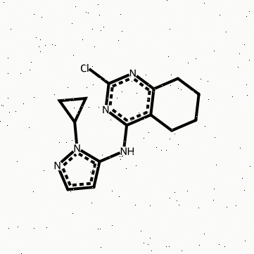 Clc1nc2c(c(Nc3ccnn3C3CC3)n1)CCCC2